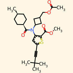 COC(=O)c1sc(C#CC(C)(C)C)cc1N(C(=O)[C@H]1CC[C@@H](C)CC1)C1CC(COC(C)=O)C1